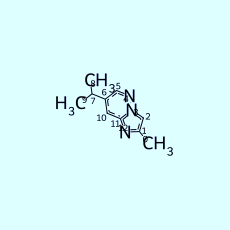 Cc1cn2ncc(C(C)C)cc2n1